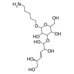 NCCCCCOC1OC(CO)C(O)C(OC(O)C(O)/C=C/[C@H](O)CO)C1O